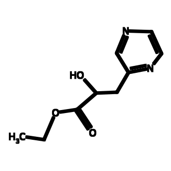 CCOC(=O)C(O)Cc1cnccn1